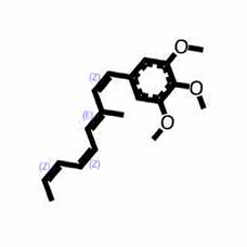 C\C=C/C=C\C=C(C)\C=C/c1cc(OC)c(OC)c(OC)c1